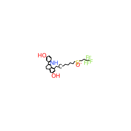 [O-][S+](CCCCCCCCCc1cc(O)cc2c1-c1[nH]c3ccc(O)cc3c1CC2)CCCC(F)(F)C(F)(F)F